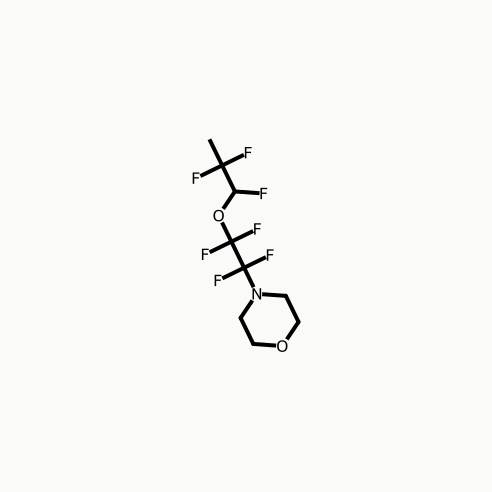 CC(F)(F)C(F)OC(F)(F)C(F)(F)N1CCOCC1